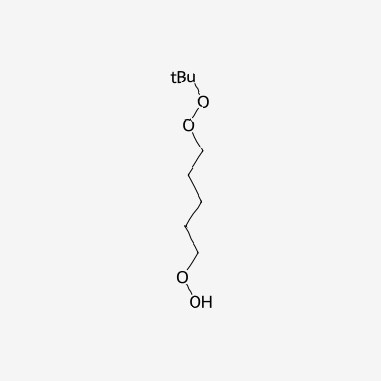 CC(C)(C)OOCCCCCOO